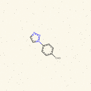 O=[C]c1ccc(-n2ccnn2)cc1